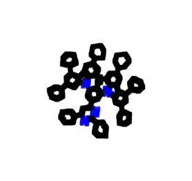 c1ccc(-c2cc(-c3ccccc3)c3c4cc(C5CCCCC5)cc5c4n(c3c2)-c2cc(-c3cc(-c4ccccc4)nc(-c4ccccc4)n3)cc3c2B5c2cc(C4CCCCC4)cc4c5c(-c6ccccc6)cc(-c6ccccc6)cc5n-3c24)cc1